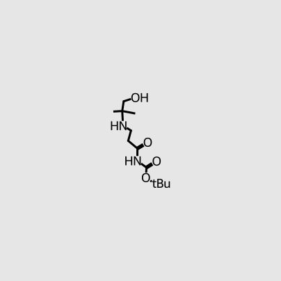 CC(C)(CO)NCCC(=O)NC(=O)OC(C)(C)C